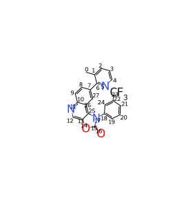 Cc1cccnc1-c1ccc2ncc3oc(=O)n(-c4cccc(C(F)(F)F)c4)c3c2c1